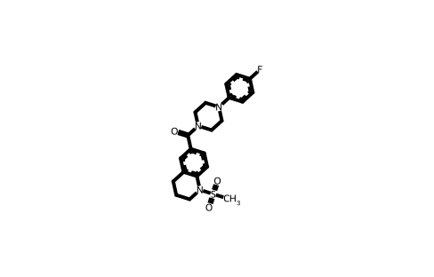 CS(=O)(=O)N1CCCc2cc(C(=O)N3CCN(c4ccc(F)cc4)CC3)ccc21